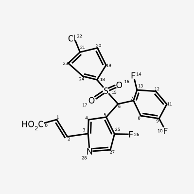 O=C(O)C=Cc1cc(C(c2cc(F)ccc2F)S(=O)(=O)c2ccc(Cl)cc2)c(F)cn1